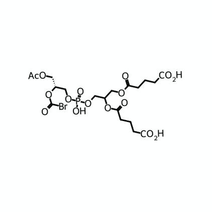 CC(=O)OC[C@H](COP(=O)(O)OCC(COC(=O)CCCC(=O)O)OC(=O)CCCC(=O)O)OC(=O)Br